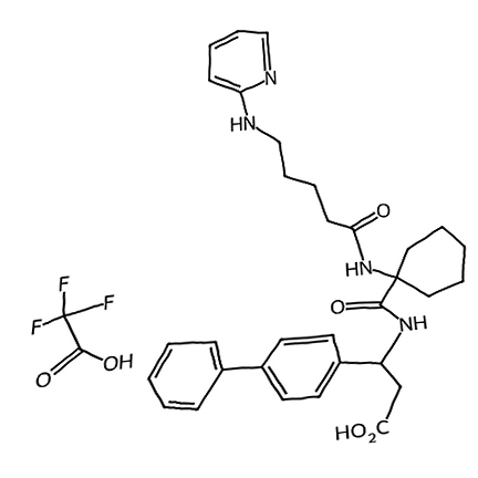 O=C(O)C(F)(F)F.O=C(O)CC(NC(=O)C1(NC(=O)CCCCNc2ccccn2)CCCCC1)c1ccc(-c2ccccc2)cc1